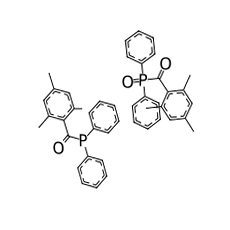 Cc1cc(C)c(C(=O)P(=O)(c2ccccc2)c2ccccc2)c(C)c1.Cc1cc(C)c(C(=O)P(c2ccccc2)c2ccccc2)c(C)c1